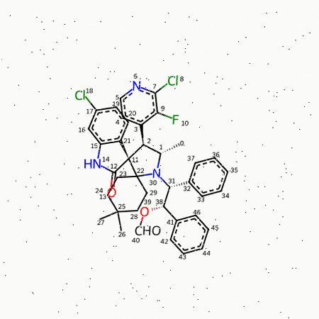 C[C@H]1[C@H](c2ccnc(Cl)c2F)[C@@]2(C(=O)Nc3cc(Cl)ccc32)C2(CCC(C)(C)CC2)N1[C@H](c1ccccc1)[C@@H](OC=O)c1ccccc1